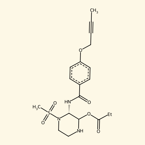 CC#CCOc1ccc(C(=O)N[C@@H]2C(OC(=O)CC)NCCN2S(C)(=O)=O)cc1